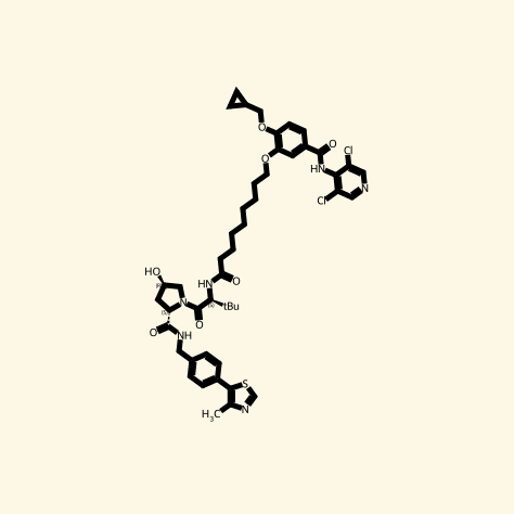 Cc1ncsc1-c1ccc(CNC(=O)[C@@H]2C[C@@H](O)CN2C(=O)[C@@H](NC(=O)CCCCCCCCOc2cc(C(=O)Nc3c(Cl)cncc3Cl)ccc2OCC2CC2)C(C)(C)C)cc1